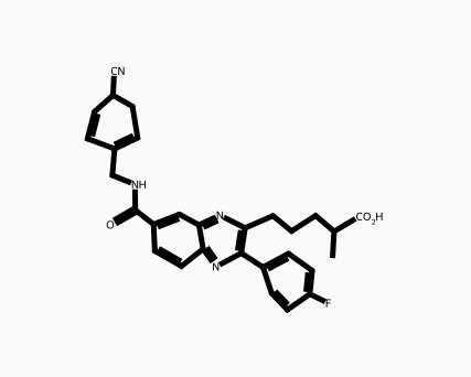 CC(CCCc1nc2cc(C(=O)NCC3=CCC(C#N)C=C3)ccc2nc1-c1ccc(F)cc1)C(=O)O